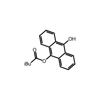 CCC(C)C(=O)Oc1c2ccccc2c(O)c2ccccc12